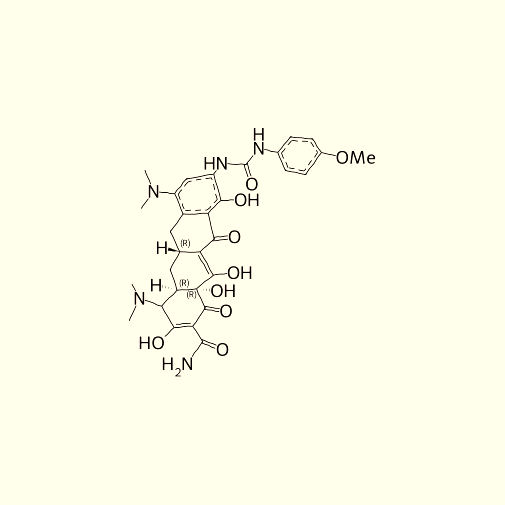 COc1ccc(NC(=O)Nc2cc(N(C)C)c3c(c2O)C(=O)C2=C(O)[C@@]4(O)C(=O)C(C(N)=O)=C(O)C(N(C)C)[C@H]4C[C@@H]2C3)cc1